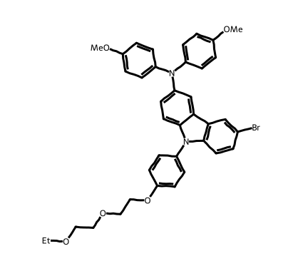 CCOCCOCCOc1ccc(-n2c3ccc(Br)cc3c3cc(N(c4ccc(OC)cc4)c4ccc(OC)cc4)ccc32)cc1